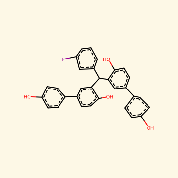 Oc1ccc(-c2ccc(O)c(C(c3cccc(I)c3)c3cc(-c4ccc(O)cc4)ccc3O)c2)cc1